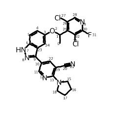 CC(Oc1ccc2[nH]nc(-c3cnc(N4CCCC4)c(C#N)c3)c2c1)c1c(Cl)cnc(F)c1Cl